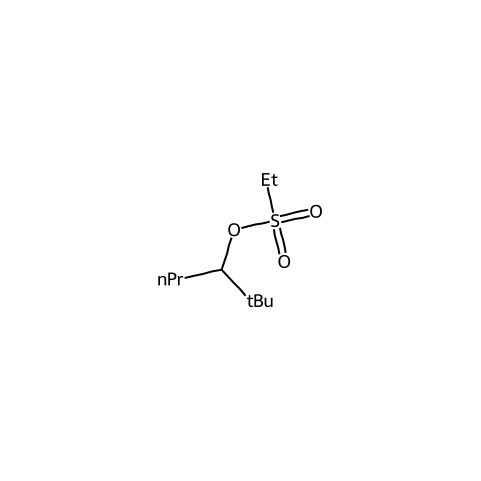 CCCC(OS(=O)(=O)CC)C(C)(C)C